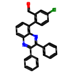 O=Cc1cc(Cl)ccc1-c1cccc2nc(-c3ccccc3)c(-c3ccccc3)nc12